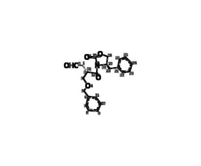 O=CC[C@@H](COCc1ccccc1)C(=O)N1C(=O)OC[C@H]1Cc1ccccc1